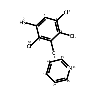 Sc1cc(Cl)c(Cl)c(Cl)c1Cl.c1ccncc1